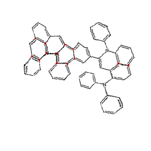 C(=C(c1ccc(C(=Cc2ccccc2N(c2ccccc2)c2ccccc2)N(c2ccccc2)c2ccccc2)cc1)N(c1ccccc1)c1ccccc1)c1ccccc1N(c1ccccc1)c1ccccc1